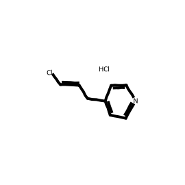 Cl.Cl/C=C/Cc1ccncc1